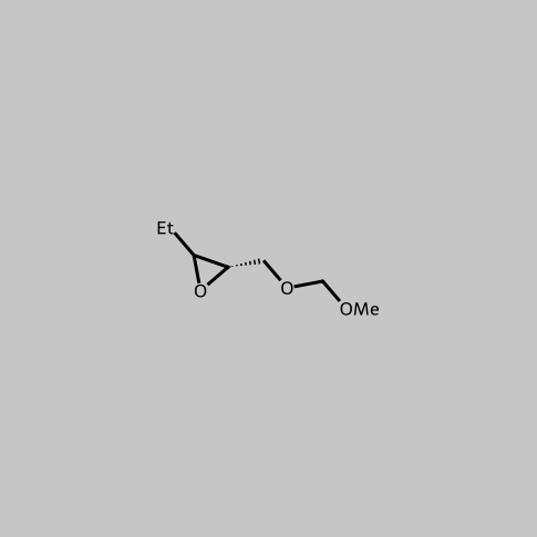 CCC1O[C@H]1COCOC